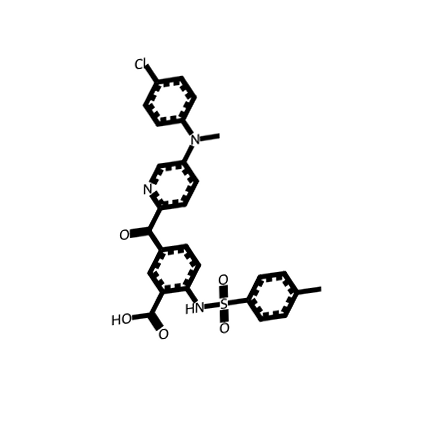 Cc1ccc(S(=O)(=O)Nc2ccc(C(=O)c3ccc(N(C)c4ccc(Cl)cc4)cn3)cc2C(=O)O)cc1